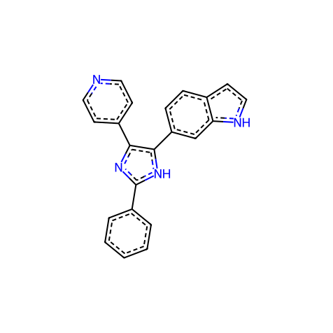 c1ccc(-c2nc(-c3ccncc3)c(-c3ccc4cc[nH]c4c3)[nH]2)cc1